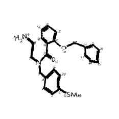 CSc1ccc(CN(CCN)C(=O)c2ccccc2OCc2ccccc2)cc1